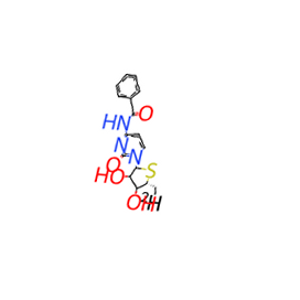 [2H]C[C@H]1S[C@@H](n2ccc(NC(=O)c3ccccc3)nc2=O)[C@H](O)[C@@H]1O